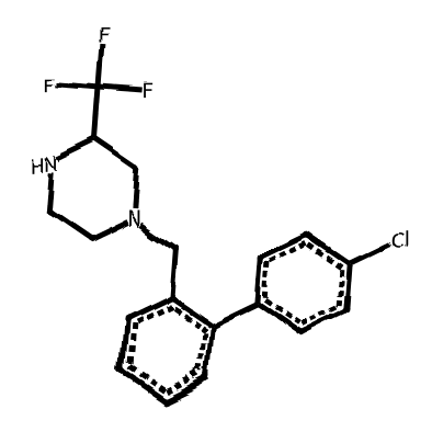 FC(F)(F)C1CN(Cc2ccccc2-c2ccc(Cl)cc2)CCN1